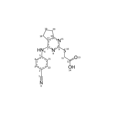 N#Cc1ccc(Nc2nc(SCC(=O)O)nc3c2CCC3)cc1